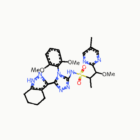 COc1cccc(OC)c1-n1c(NS(=O)(=O)C(C)C(OC)c2ncc(C)cn2)nnc1-c1n[nH]c2c1CCCC2